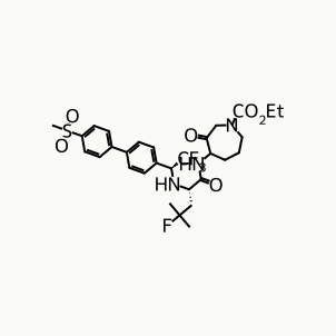 CCOC(=O)N1CCCC(NC(=O)[C@H](CC(C)(C)F)N[C@@H](c2ccc(-c3ccc(S(C)(=O)=O)cc3)cc2)C(F)(F)F)C(=O)C1